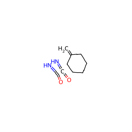 C=C1CCCCC1.N=C=O.N=C=O